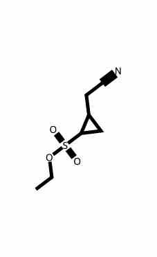 CCOS(=O)(=O)C1CC1CC#N